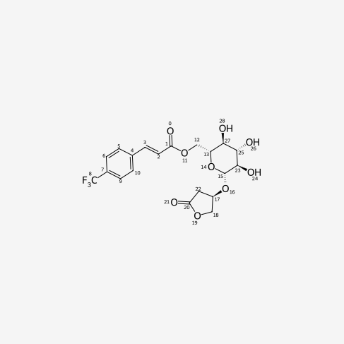 O=C(/C=C/c1ccc(C(F)(F)F)cc1)OC[C@H]1O[C@@H](O[C@H]2COC(=O)C2)[C@H](O)[C@@H](O)[C@@H]1O